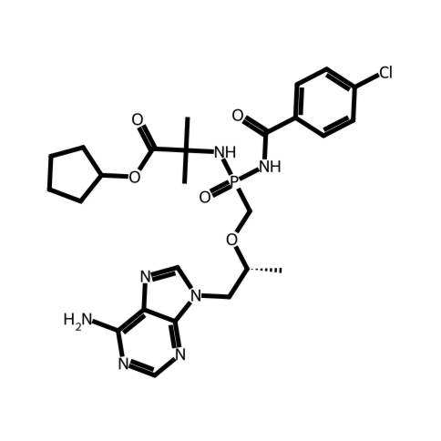 C[C@H](Cn1cnc2c(N)ncnc21)OCP(=O)(NC(=O)c1ccc(Cl)cc1)NC(C)(C)C(=O)OC1CCCC1